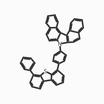 c1ccc(-c2cccc3c2sc2c(-c4ccc(-n5c6ccc7ccccc7c6c6c7ccccc7ccc65)cc4)cccc23)cc1